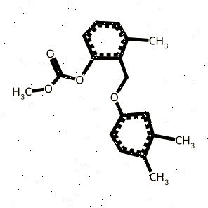 COC(=O)Oc1cccc(C)c1COc1ccc(C)c(C)c1